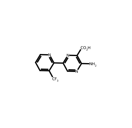 Nc1ncc(-c2ncccc2C(F)(F)F)nc1C(=O)O